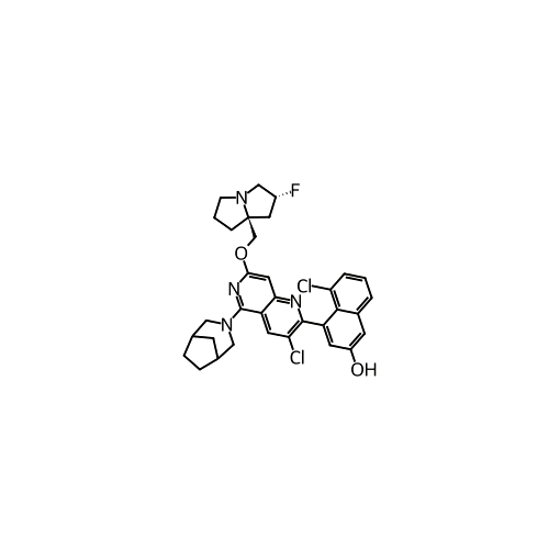 Oc1cc(-c2nc3cc(OC[C@@]45CCCN4C[C@H](F)C5)nc(N4CC5CCC(C5)C4)c3cc2Cl)c2c(Cl)cccc2c1